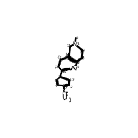 CN1CCc2nc(-c3ccc(C(F)(F)F)cc3)ccc2C1